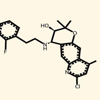 Cc1cc(Cl)nc2cc3c(cc12)OC(C)(C)[C@H](O)[C@H]3NCCc1ccccc1F